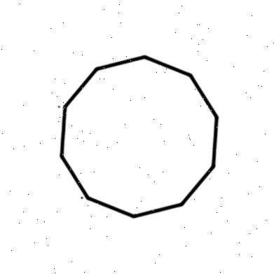 [CH]1C[CH]CCCCCCC1